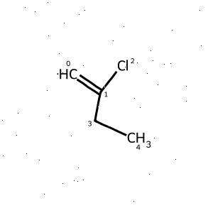 [CH]=C(Cl)CC